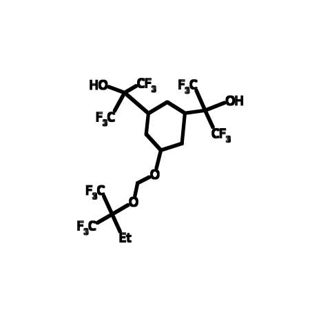 CCC(OCOC1CC(C(O)(C(F)(F)F)C(F)(F)F)CC(C(O)(C(F)(F)F)C(F)(F)F)C1)(C(F)(F)F)C(F)(F)F